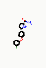 NC(=O)[C@@H]1CC[C@H](c2ccc(Oc3cccc(F)c3)cc2)N1